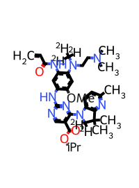 [2H]C([2H])([2H])N(CCN(C)C)c1cc(OC)c(Nc2ncc(C(=O)OC(C)C)c(N3c4ccc(C)nc4C(C)(C)C3([2H])[2H])n2)cc1NC(=O)C=C